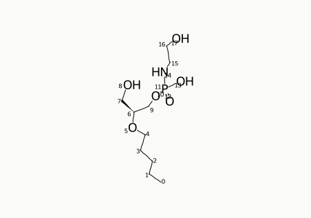 CCCCCO[C@@H](CO)COP(=O)(O)NCCO